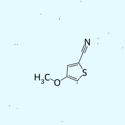 COc1[c]sc(C#N)c1